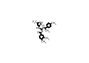 Cc1ccc(C(C)N/C(=N/C(=O)c2ccc(C)c(C)c2)Nc2cc(C(F)(F)F)[nH]n2)cc1